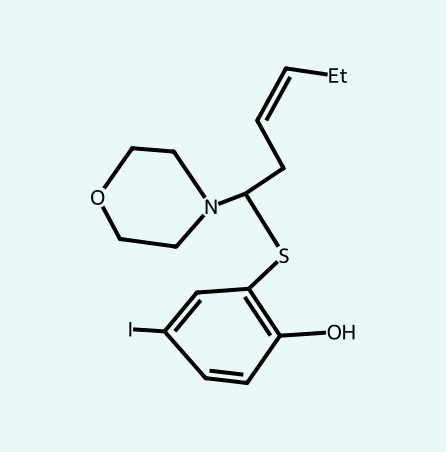 CC/C=C\CC(Sc1cc(I)ccc1O)N1CCOCC1